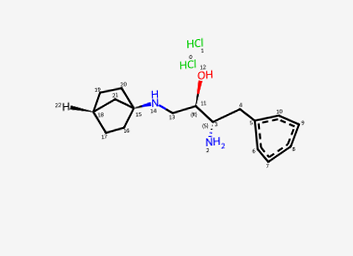 Cl.Cl.N[C@@H](Cc1ccccc1)[C@H](O)CN[C@]12CC[C@H](CC1)C2